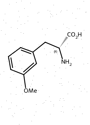 COc1cccc(C[C@@H](N)C(=O)O)c1